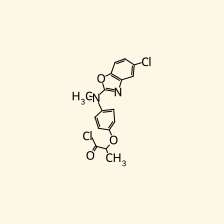 CC(Oc1ccc(N(C)c2nc3cc(Cl)ccc3o2)cc1)C(=O)Cl